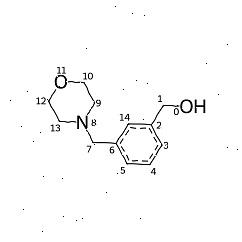 OCc1cccc(CN2CCOCC2)c1